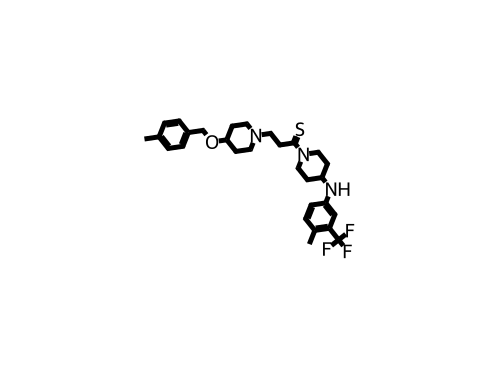 Cc1ccc(COC2CCN(CCC(=S)N3CCC(Nc4ccc(C)c(C(F)(F)F)c4)CC3)CC2)cc1